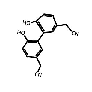 N#CCc1ccc(O)c(-c2cc(CC#N)ccc2O)c1